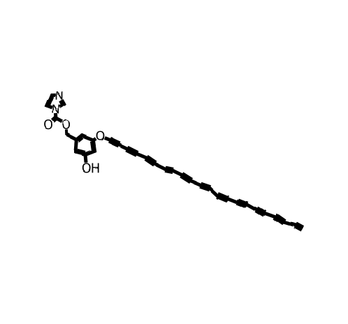 C#CC#CC#CC#CC#CC#CC#CC#CC#CC#CC#COc1cc(O)cc(COC(=O)n2ccnc2)c1